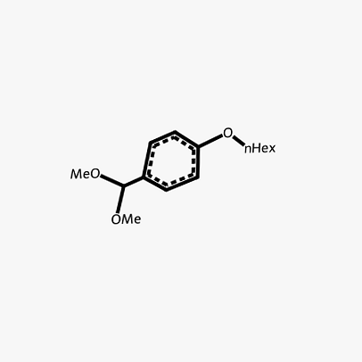 CCCCCCOc1ccc(C(OC)OC)cc1